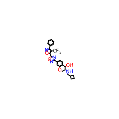 O[C@@H]1c2ccc(-c3noc(-c4onc(-c5ccccc5)c4C(F)(F)F)n3)cc2OC[C@@H]1NCC1CCC1